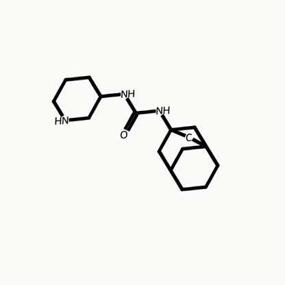 O=C(NC1CCCNC1)NC12CC3CCCC(C3)(C1)C2